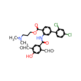 CN(C)CCCOC(=O)c1ccc(-c2ccc(Cl)cc2Cl)cc1NC(=O)c1cc([C]=O)c(O)cc1[C]=O